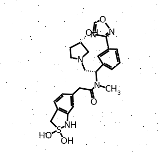 CN(C(=O)Cc1ccc2c(c1)NS(O)(O)C2)[C@H](CN1CC[C@H](O)C1)c1cccc(-c2ncon2)c1